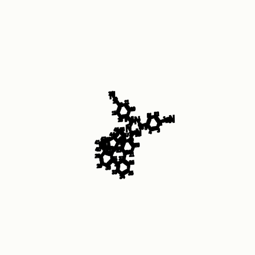 N#Cc1ccc(-c2nc(-c3ccc(C#N)cc3)nc(-c3ccc4c(c3)C3(c5ccccc5-c5ccccc5-4)c4ccccc4-c4ccccc43)n2)cc1